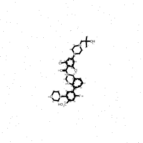 CC(C)(O)CN1CCN(c2cc(Cl)c(C(=O)N3COc4c(cccc4-c4cc(N5CCOCC5)c(C(=O)O)cc4F)C3)c(Cl)c2)CC1